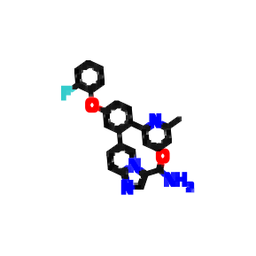 Cc1cccc(-c2ccc(Oc3ccccc3F)cc2-c2ccc3ncc(C(N)=O)n3c2)n1